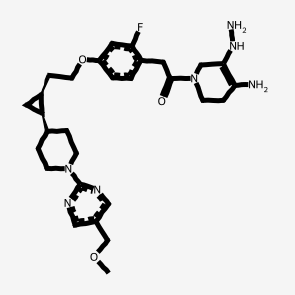 COCc1cnc(N2CCC([C@H]3C[C@H]3CCOc3ccc(CC(=O)N4CCC(N)=C(NN)C4)c(F)c3)CC2)nc1